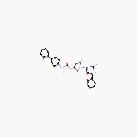 Cc1nc(N2C[C@@H](CC(=O)Nc3ccc(-c4ccccc4Cl)cc3)C[C@H]2C(=O)O)c2oc3ccccc3c2n1